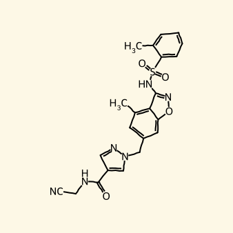 Cc1ccccc1S(=O)(=O)Nc1noc2cc(Cn3cc(C(=O)NCC#N)cn3)cc(C)c12